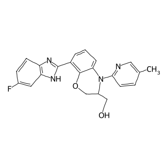 Cc1ccc(N2c3cccc(-c4nc5ccc(F)cc5[nH]4)c3OCC2CO)nc1